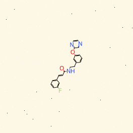 O=C(C=Cc1cccc(F)c1)NCCc1cccc(Oc2cnccn2)c1